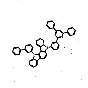 c1ccc(-c2cccc(-n3c4ccccc4c4ccc5c(c6ccccc6n5-c5cccc(-c6nc(-c7ccccc7)cc(-c7ccccc7)n6)c5)c43)c2)cc1